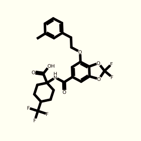 Cc1cccc(CCOc2cc(C(=O)NC3(C(=O)O)CCC(C(F)(F)F)CC3)cc3c2OC(F)(F)O3)c1